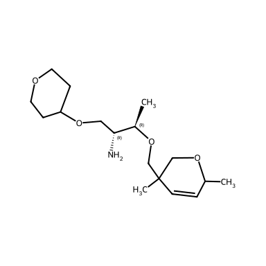 CC1C=CC(C)(CO[C@H](C)[C@H](N)COC2CCOCC2)CO1